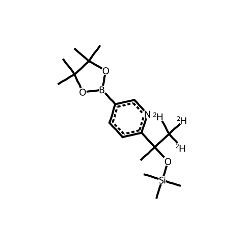 [2H]C([2H])([2H])C(C)(O[Si](C)(C)C)c1ccc(B2OC(C)(C)C(C)(C)O2)cn1